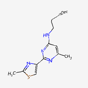 CCCCCCCCCCCCNc1cc(C)nc(-c2csc(C)n2)n1